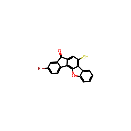 O=C1c2cc(Br)ccc2-c2c1cc(S)c1c2oc2ccccc21